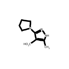 Cc1[nH]nc(N2CCCC2)c1C(=O)O